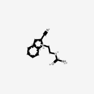 N#Cc1cc2ccccc2n1CCOC(N)=O